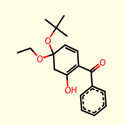 CCOC1(OC(C)(C)C)C=CC(C(=O)c2ccccc2)=C(O)C1